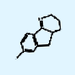 Fc1ccc2c(c1)CC1CCCN=C21